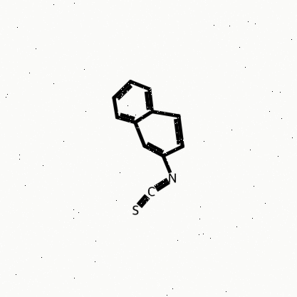 S=C=Nc1ccc2ccccc2c1